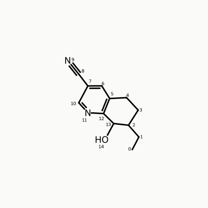 CCC1CCc2cc(C#N)cnc2C1O